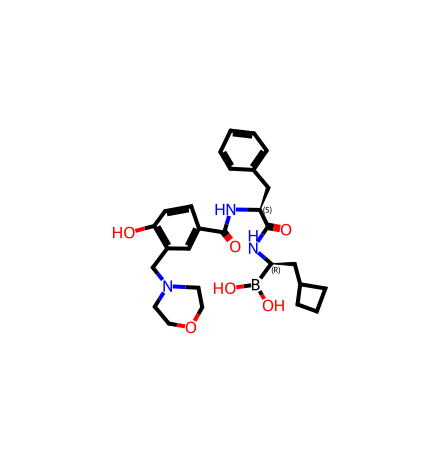 O=C(N[C@@H](Cc1ccccc1)C(=O)N[C@@H](CC1CCC1)B(O)O)c1ccc(O)c(CN2CCOCC2)c1